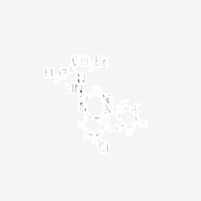 CCOC(=O)C(C)=NNC1=Nc2ccc(Cl)cc2C(c2ccccc2)=NC1